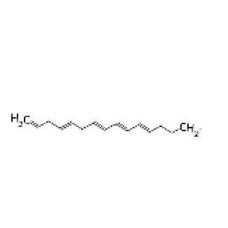 [CH2]CCC=CC=CC=CCC=CCC=C